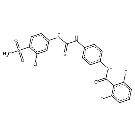 CS(=O)(=O)c1ccc(NC(=S)Nc2ccc(NC(=O)c3c(F)cccc3F)cc2)cc1Cl